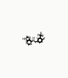 Fc1ccc(CNc2ncnc3[nH]cnc23)cc1C(F)(F)F